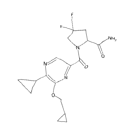 NC(=O)C1CC(F)(F)CN1C(=O)c1cnc(C2CC2)c(OCC2CC2)n1